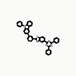 C1=C(c2ccc3c(c2)c2ccccc2n3-c2ccccc2)C=C(c2nc3cc(-c4nc(-c5ccccc5)nc(-c5ccccc5)n4)ccc3s2)CC1